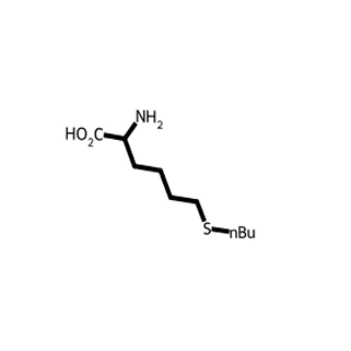 CCCCSCCCCC(N)C(=O)O